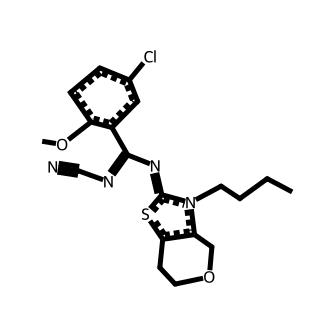 CCCCn1c2c(s/c1=N\C(=NC#N)c1cc(Cl)ccc1OC)CCOC2